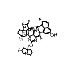 C#Cc1c(F)ccc2cc(O)cc(-c3nc4c5c(nc(OC[C@@]67CCCN6C[C@H](F)C7)nc5c3F)N3C[C@H]5CC[C@H](N5)[C@H]3C(C(F)F)O4)c12